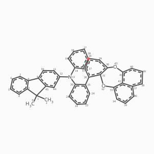 CC1(C)c2ccccc2-c2ccc(N(c3ccccc3)c3ccccc3-c3cccc4c3Oc3cccc5cccc(c35)O4)cc21